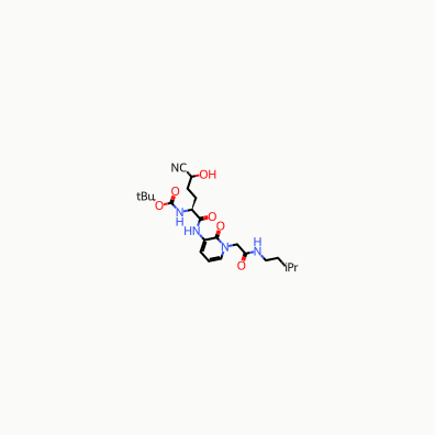 CC(C)CCNC(=O)Cn1cccc(NC(=O)[C@H](CCC(O)C#N)NC(=O)OC(C)(C)C)c1=O